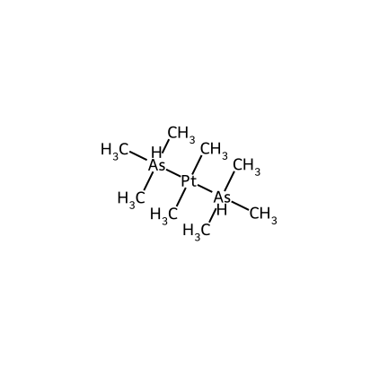 C[AsH](C)(C)[Pt]([CH3])([CH3])[AsH](C)(C)C